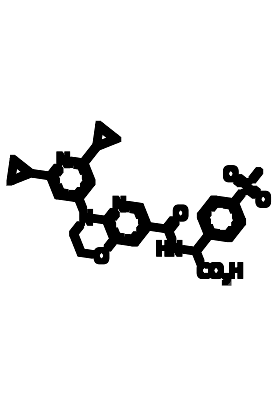 CS(=O)(=O)c1ccc(C(NC(=O)c2cnc3c(c2)OCCN3c2cc(C3CC3)nc(C3CC3)c2)C(=O)O)cc1